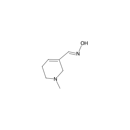 CN1CCC=C(C=NO)C1